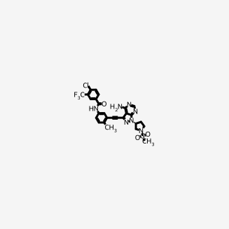 Cc1ccc(NC(=O)c2ccc(Cl)c(C(F)(F)F)c2)cc1C#Cc1nn([C@@H]2CCN(S(C)(=O)=O)C2)c2ncnc(N)c12